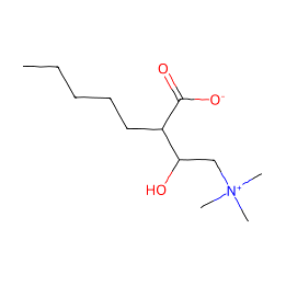 CCCCCC(C(=O)[O-])C(O)C[N+](C)(C)C